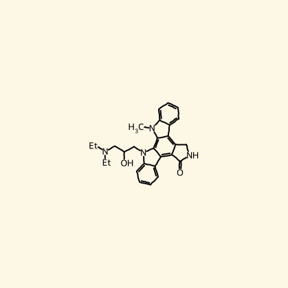 CCN(CC)CC(O)Cn1c2ccccc2c2c3c(c4c5ccccc5n(C)c4c21)CNC3=O